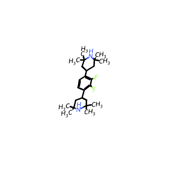 CC1(C)CC(c2ccc(C3CC(C)(C)NC(C)(C)C3)c(F)c2F)CC(C)(C)N1